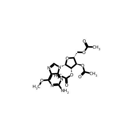 COc1nc(N)nc2c1ncn2[C@@H]1O[C@H](COC(C)=O)[C@@H](OC(C)=O)[C@@H]1OC(C)=O